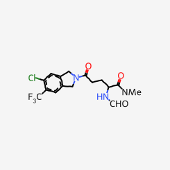 CNC(=O)C(CCC(=O)N1Cc2cc(Cl)c(C(F)(F)F)cc2C1)NC=O